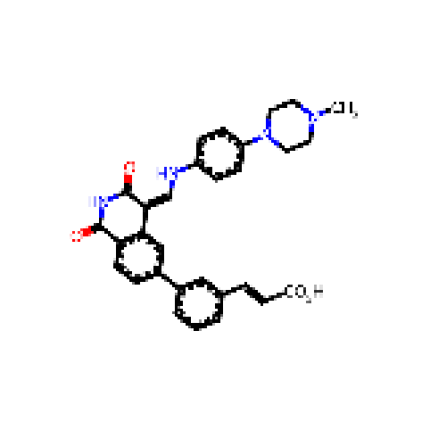 CN1CCN(c2ccc(NC=C3C(=O)NC(=O)c4ccc(-c5cccc(C=CC(=O)O)c5)cc43)cc2)CC1